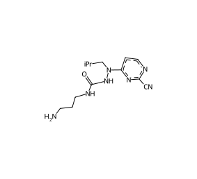 CC(C)CN(NC(=O)NCCCN)c1ccnc(C#N)n1